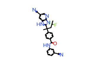 CC(F)(F)CC(C)(c1ccc(C(=O)Nc2cccc(C#N)c2)cc1)c1nc2ncc(C#N)cc2[nH]1